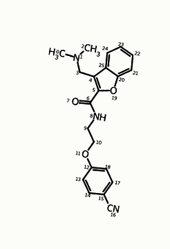 CN(C)Cc1c(C(=O)NCCOc2ccc(C#N)cc2)oc2ccccc12